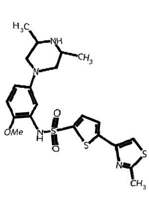 COc1ccc(N2CC(C)NC(C)C2)cc1NS(=O)(=O)c1ccc(-c2csc(C)n2)s1